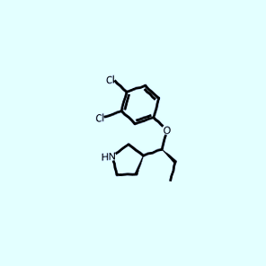 CC[C@H](Oc1ccc(Cl)c(Cl)c1)[C@H]1CCNC1